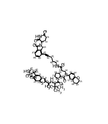 CC(C)(C)C(NC(=O)c1cc2cc(C(F)(F)P(=O)(O)O)ccc2s1)C(=O)N1CCC[C@H]1C(=O)N(CCC(=O)NCCCC#Cc1cccc2c1CN(C1CCC(=O)NC1=O)C2=O)c1ccc2c(c1)CCCO2